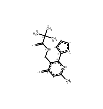 Cc1cc(=O)c(CNC(=O)C(C)(C)C)c(-c2ccco2)[nH]1